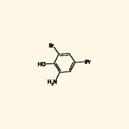 CC(C)c1cc(N)c(O)c(Br)c1